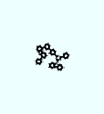 c1ccc(-c2nc(-c3ccc(-c4cccc(-c5cccc6sc7c(-c8ccccc8)cccc7c56)c4)cc3)nc(-n3c4ccccc4c4ccccc43)n2)cc1